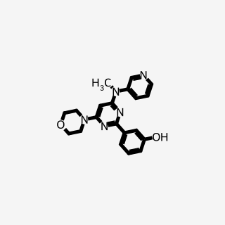 CN(c1cccnc1)c1cc(N2CCOCC2)nc(-c2cccc(O)c2)n1